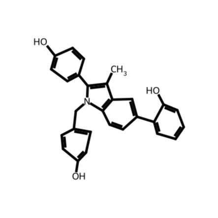 Cc1c(-c2ccc(O)cc2)n(Cc2ccc(O)cc2)c2ccc(-c3ccccc3O)cc12